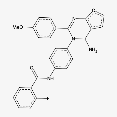 COc1ccc(C2=Nc3occc3C(N)N2c2ccc(NC(=O)c3ccccc3F)cc2)cc1